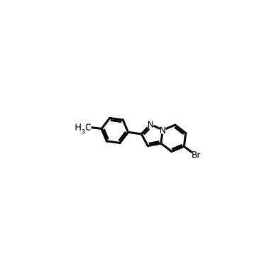 Cc1ccc(-c2cc3cc(Br)ccn3n2)cc1